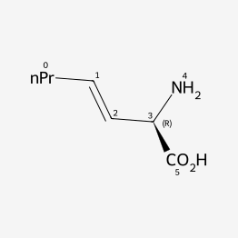 CCCC=C[C@@H](N)C(=O)O